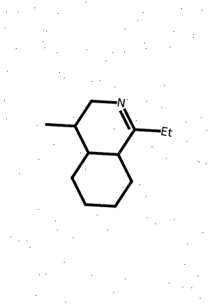 CCC1=NCC(C)C2CCCCC12